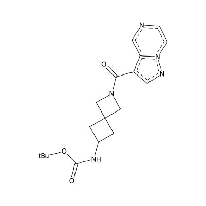 CC(C)(C)OC(=O)NC1CC2(C1)CN(C(=O)c1cnn3ccncc13)C2